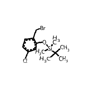 CC(C)(C)[Si](C)(C)Oc1cc(Cl)ccc1CBr